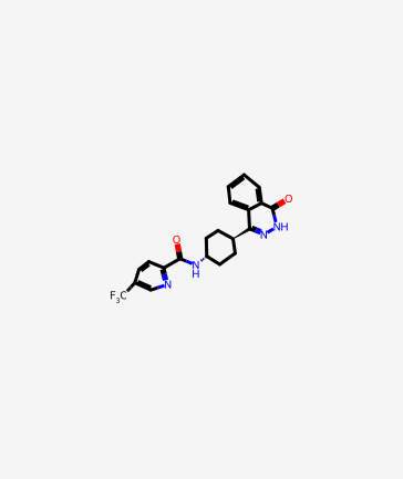 O=C(N[C@H]1CC[C@H](c2n[nH]c(=O)c3ccccc32)CC1)c1ccc(C(F)(F)F)cn1